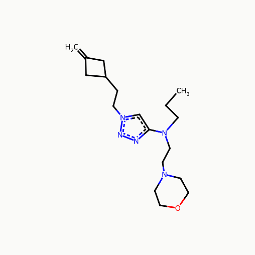 C=C1CC(CCn2cc(N(CCC)CCN3CCOCC3)nn2)C1